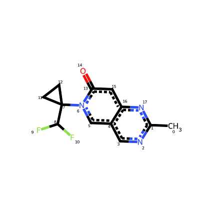 Cc1ncc2cn(C3(C(F)F)CC3)c(=O)cc2n1